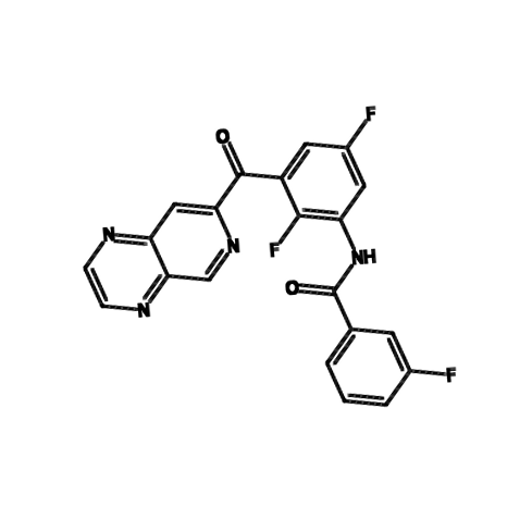 O=C(Nc1cc(F)cc(C(=O)c2cc3nccnc3cn2)c1F)c1cccc(F)c1